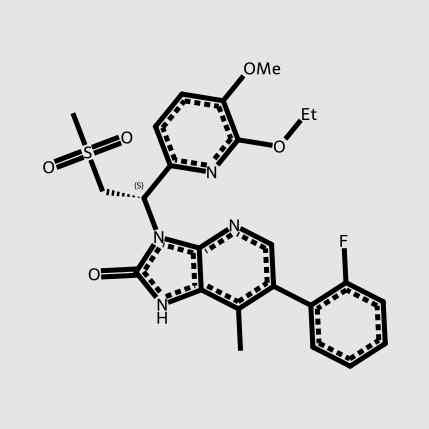 CCOc1nc([C@@H](CS(C)(=O)=O)n2c(=O)[nH]c3c(C)c(-c4ccccc4F)cnc32)ccc1OC